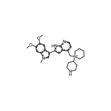 COc1cc2c(-c3cc4c(C[N+]5(C6CCNCC6)CCCCC5)ccnc4[nH]3)cn(C)c2cc1OC